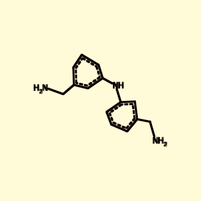 NCc1cccc(Nc2cccc(CN)c2)c1